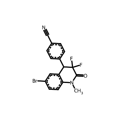 CN1C(=O)C(F)(F)C(c2ccc(C#N)cc2)c2cc(Br)ccc21